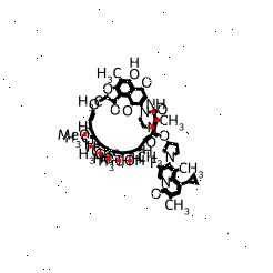 CO[C@H]1/C=C/O[C@@]2(C)Oc3c(C)c(O)c4c(c3C2=O)C(=O)C(N2CCN(C(=O)O[C@H]3CCN(c5c(F)cn6c(=O)c(C)cc(C7CC7)c6c5C)C3)CC2)=C(NC(=O)/C(C)=C\C=C\[C@H](C)[C@H](O)[C@@H](C)[C@@H](O)[C@@H](C)[C@H](OC(C)=O)[C@@H]1C)C4=O